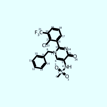 CS(=O)(=O)Nc1cn(Cc2ccccc2)c(-c2cccc(C(F)(F)F)c2Cl)nc1=O